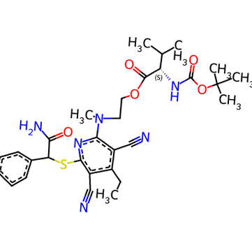 CCc1c(C#N)c(SC(C(N)=O)c2ccccc2)nc(N(C)CCOC(=O)[C@@H](NC(=O)OC(C)(C)C)C(C)C)c1C#N